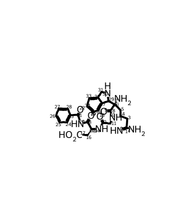 N=C(N)CCC[C@@](N)(C(=O)NCC(=O)N[C@@H](CC(=O)O)C(=O)NC(=O)c1ccccc1)C1NCc2ccccc21